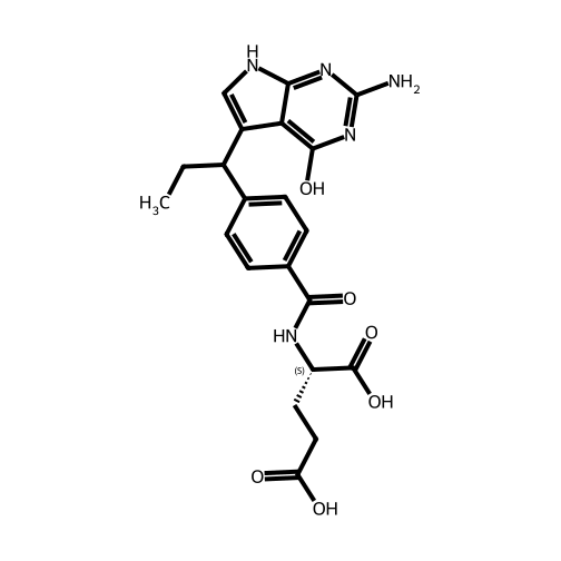 CCC(c1ccc(C(=O)N[C@@H](CCC(=O)O)C(=O)O)cc1)c1c[nH]c2nc(N)nc(O)c12